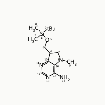 CN1CC(CO[Si](C)(C)C(C)(C)C)c2ncnc(N)c21